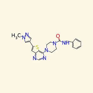 Cn1cc(-c2cc3ncnc(N4CCN(C(=O)NCc5ccccc5)CC4)c3s2)cn1